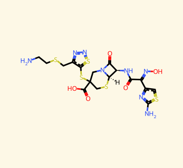 NCCSCc1nnsc1SC1(C(=O)O)CS[C@@H]2[C@H](NC(=O)C(=NO)c3csc(N)n3)C(=O)N2C1